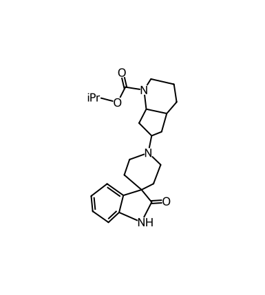 CC(C)OC(=O)N1CCCC2CC(N3CCC4(CC3)C(=O)Nc3ccccc34)CC21